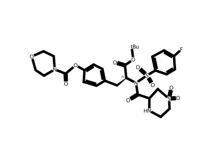 CC(C)(C)OC(=O)[C@H](Cc1ccc(OC(=O)N2CCOCC2)cc1)N(C(=O)C1CS(=O)(=O)CCN1)S(=O)(=O)c1ccc(F)cc1